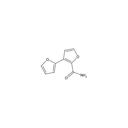 NC(=O)c1occc1-c1ccco1